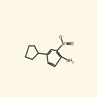 Nc1ccc(C2CCCC2)cc1[N+](=O)[O-]